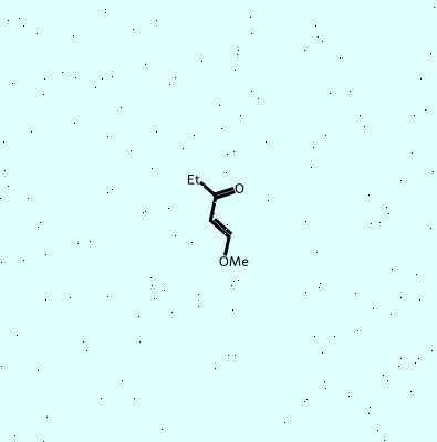 CCC(=O)C=COC